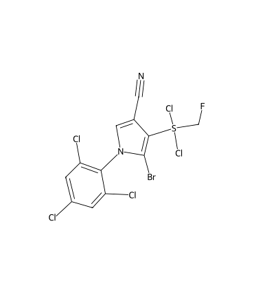 N#Cc1cn(-c2c(Cl)cc(Cl)cc2Cl)c(Br)c1S(Cl)(Cl)CF